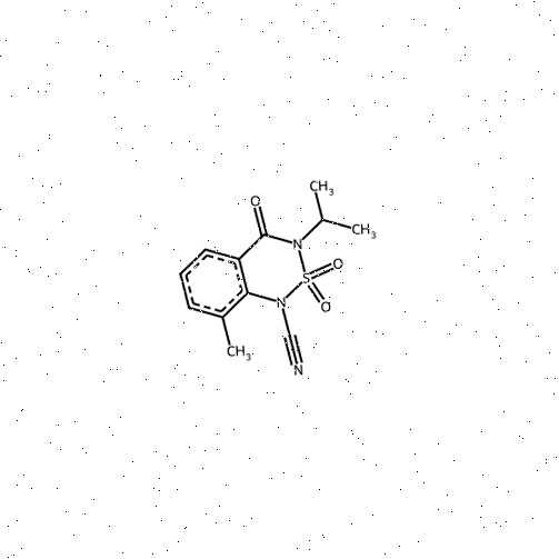 Cc1cccc2c1N(C#N)S(=O)(=O)N(C(C)C)C2=O